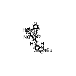 CCn1c(=C(C#N)C(=O)N[C@@H](CO)c2ccccc2)sc(=CNc2cccc(NC(=O)C(C)(C)C)c2)c1=O